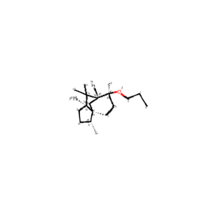 CCCO[C@@]1(C)CC[C@@]23C[C@@H]1C(C)(C)[C@@H]2CC[C@H]3C